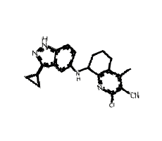 Cc1c(C#N)c(Cl)nc2c1CCCC2Nc1ccc2[nH]nc(C3CC3)c2c1